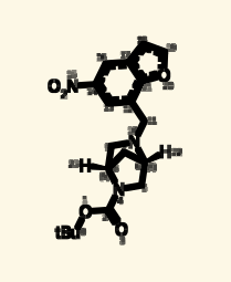 CC(C)(C)OC(=O)N1C[C@@H]2C[C@H]1CN2Cc1cc([N+](=O)[O-])cc2ccoc12